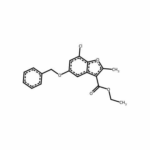 CCOC(=O)c1c(C)oc2c(Cl)cc(OCc3ccccc3)cc12